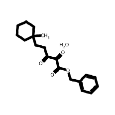 CC1(CCC(=O)C(=O)C(=O)OCc2ccccc2)CCCCC1.O